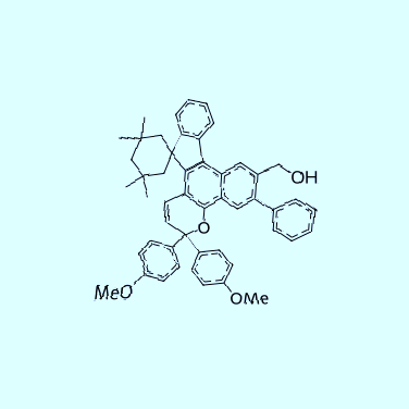 COc1ccc(C2(c3ccc(OC)cc3)C=Cc3c4c(c5cc(CO)c(-c6ccccc6)cc5c3O2)-c2ccccc2C42CC(C)(C)CC(C)(C)C2)cc1